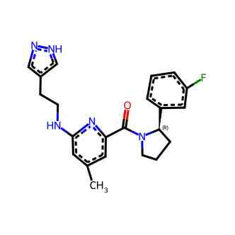 Cc1cc(NCCc2cn[nH]c2)nc(C(=O)N2CCC[C@@H]2c2cccc(F)c2)c1